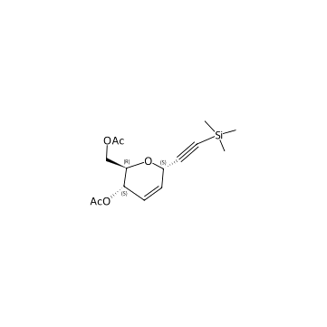 CC(=O)OC[C@H]1O[C@H](C#C[Si](C)(C)C)C=C[C@@H]1OC(C)=O